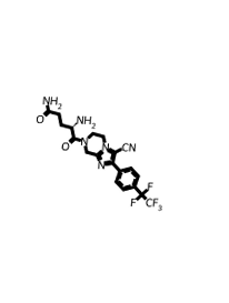 N#Cc1c(-c2ccc(C(F)(F)C(F)(F)F)cc2)nc2n1CCN(C(=O)[C@@H](N)CCC(N)=O)C2